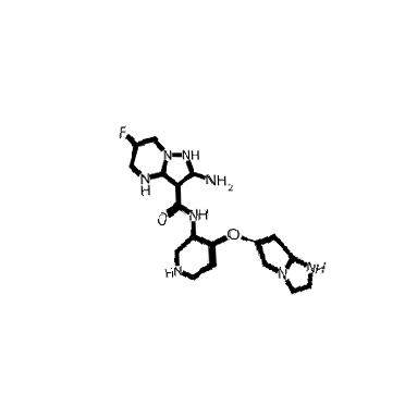 NC1NN2CC(F)CNC2C1C(=O)NC1CNCCC1O[C@H]1CC2NCCN2C1